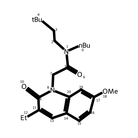 CCCCN(CCC(C)(C)C)C(=O)Cn1c(=O)c(CC)cc2ccc(OC)cc21